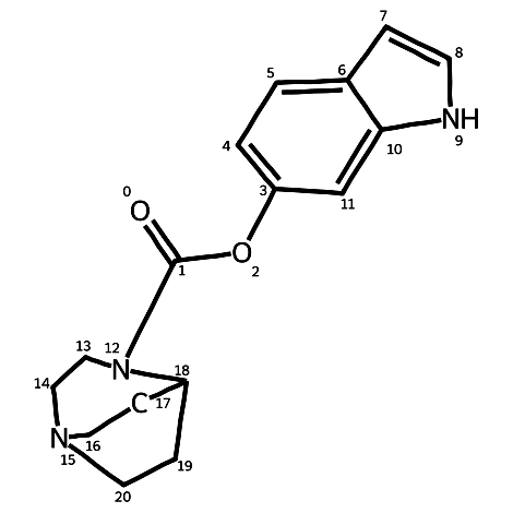 O=C(Oc1ccc2cc[nH]c2c1)N1CCN2CCC1CC2